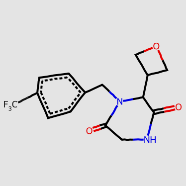 O=C1NCC(=O)N(Cc2ccc(C(F)(F)F)cc2)C1C1COC1